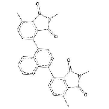 Cc1ccc(-c2ccc(-c3ccc(C)c4c3C(=O)N(C)C4=O)c3ccccc23)c2c1C(=O)N(C)C2=O